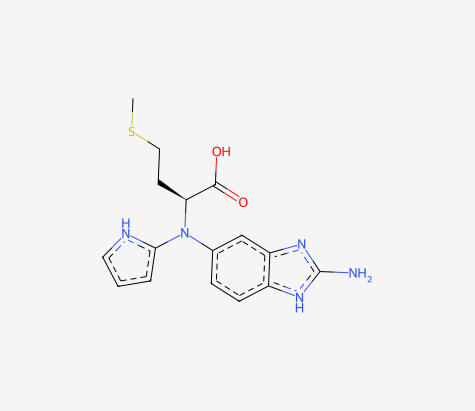 CSCC[C@@H](C(=O)O)N(c1ccc2[nH]c(N)nc2c1)c1ccc[nH]1